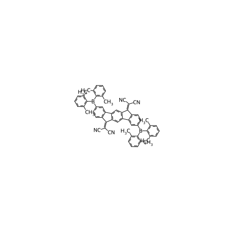 Cc1cccc(C)c1B(c1ccc2c(c1)-c1cc3c(cc1C2=C(C#N)C#N)-c1cc(B(c2c(C)cccc2C)c2c(C)cccc2C)ccc1C3=C(C#N)C#N)c1c(C)cccc1C